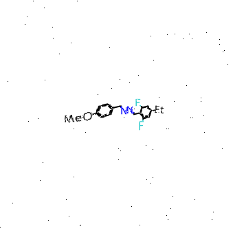 CCc1cc(F)c(C=NN=Cc2ccc(OC)cc2)c(F)c1